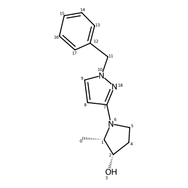 C[C@H]1[C@@H](O)CCN1c1ccn(Cc2ccccc2)n1